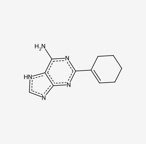 Nc1nc(C2=CCCCC2)nc2nc[nH]c12